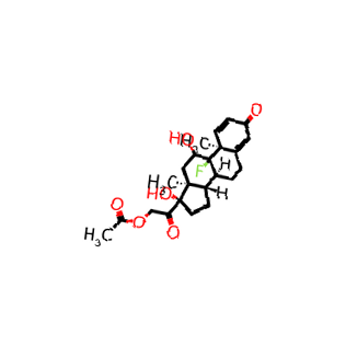 CC(=O)OCC(=O)[C@@]1(O)CC[C@H]2[C@@H]3CCC4=CC(=O)C=C[C@]4(C)C3(F)C(O)C[C@@]21C